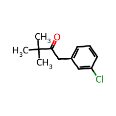 CC(C)(C)C(=O)Cc1cccc(Cl)c1